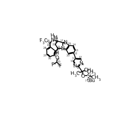 CC(C)(O[Si](C)(C)C(C)(C)C)c1ncc(-c2ccc3nc4n(c3c2)[C@@H]2C[C@H]4N[C@@H](C(F)(F)F)c3cccc(OC(F)F)c32)cn1